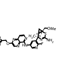 COC[C@]12C[C@H]1[C@](C)(c1cc(Nc3nccc4nc(OCc5ncco5)cnc34)cnc1F)N=C(N)S2